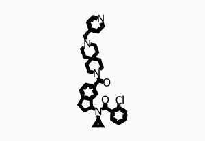 O=C(c1ccc2c(c1)C(N(C(=O)c1ccccc1Cl)C1CC1)CC2)N1CCC2(CCN(Cc3ccncc3)CC2)CC1